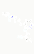 CPNCCCc1cccnc1OCC(C)O